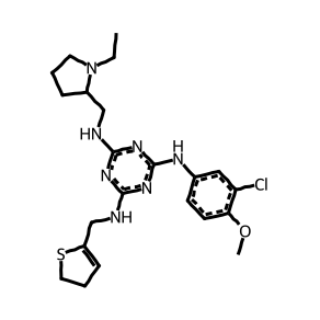 CCN1CCCC1CNc1nc(NCC2=CCCS2)nc(Nc2ccc(OC)c(Cl)c2)n1